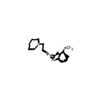 O=[N+]([O-])c1cccc2nn(CCN3CCCCC3)cc12